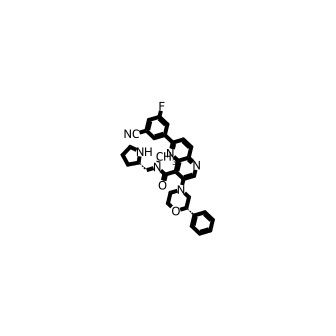 CN(C[C@@H]1CCCN1)C(=O)c1c(N2CCO[C@@H](c3ccccc3)C2)cnc2ccc(-c3cc(F)cc(C#N)c3)nc12